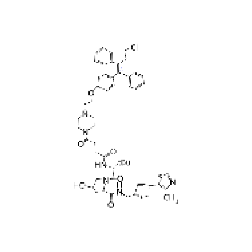 Cc1ncsc1-c1ccc(CNC(=O)C2CC(O)CN2C(=O)C(NC(=O)CCC(=O)N2CCN(CCOc3ccc(/C(=C(/CCCl)c4ccccc4)c4ccccc4)cc3)CC2)C(C)(C)C)cc1